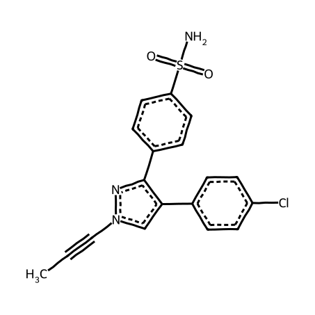 CC#Cn1cc(-c2ccc(Cl)cc2)c(-c2ccc(S(N)(=O)=O)cc2)n1